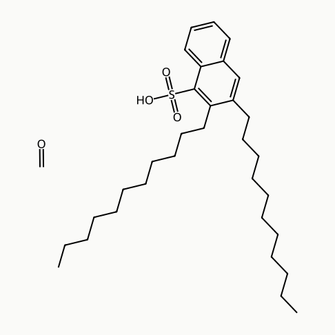 C=O.CCCCCCCCCCCc1cc2ccccc2c(S(=O)(=O)O)c1CCCCCCCCCCC